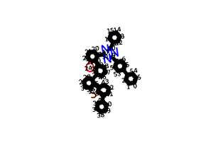 c1ccc(-c2ccc(-c3nc(-c4ccccc4)nc(-c4cccc5oc6c(-c7cccc8sc9c(-c%10ccccc%10)cccc9c78)cccc6c45)n3)cc2)cc1